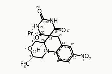 CC(C)[C@H]1O[C@@H](C(F)(F)F)CN2c3ccc([N+](=O)[O-])cc3CC3(C(=O)NC(=O)NC3=O)[C@H]12